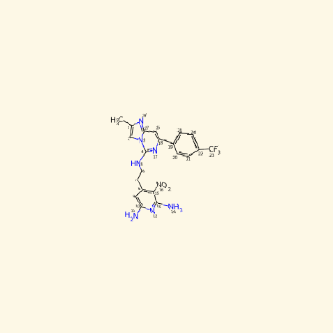 Cc1cn2c(NCCc3cc(N)nc(N)c3[N+](=O)[O-])nc(-c3ccc(C(F)(F)F)cc3)cc2n1